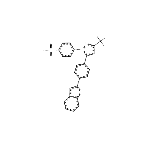 NS(=O)(=O)c1ccc(-n2nc(C(F)(F)F)cc2-c2ccc(-c3cc4ccccc4s3)cc2)cc1